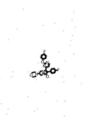 O=c1c(-c2ccc(F)cc2)c(-c2ccnc(Oc3ccc(F)cc3)n2)n2n1CC(N1CCOCC1)C2